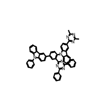 Cc1nc(C)nc(-c2ccc3c(c2)c2ccccc2n3-c2ccc(-c3ccc4c(c3)c3ccccc3n4-c3ccccc3)cc2-c2nc(-c3ccccc3)nc(-c3ccccc3)n2)n1